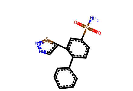 NS(=O)(=O)c1ccc(-c2ccccc2)c(-c2cnns2)c1